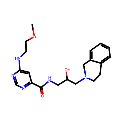 COCCNc1cc(C(=O)NCC(O)CN2CCc3ccccc3C2)ncn1